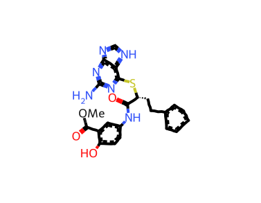 COC(=O)c1cc(NC(=O)[C@@H](CCc2ccccc2)Sc2nc(N)nc3nc[nH]c23)ccc1O